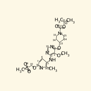 COc1c(Nc2ccc(OCS(C)(=O)=O)nc2C)ncnc1OC1CCN(C(=O)OC(C)C)CC1